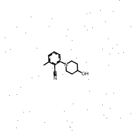 Cc1cccc(N2CCC(O)CC2)c1C#N